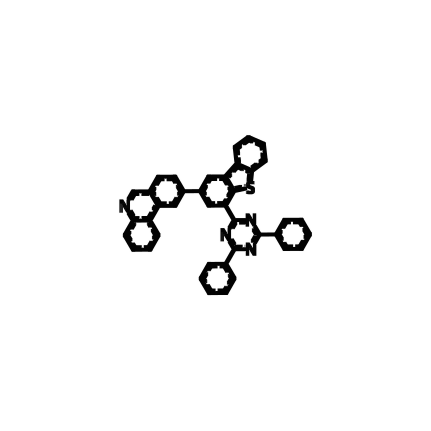 c1ccc(-c2nc(-c3ccccc3)nc(-c3cc(-c4ccc5cnc6ccccc6c5c4)cc4c3sc3ccccc34)n2)cc1